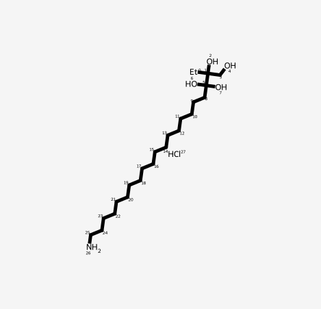 CCC(O)(CO)C(O)(O)CCCCCCCCCCCCCCCCCCN.Cl